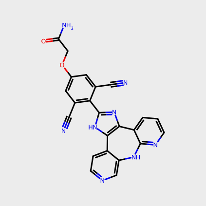 N#Cc1cc(OCC(N)=O)cc(C#N)c1-c1nc2c([nH]1)-c1ccncc1Nc1ncccc1-2